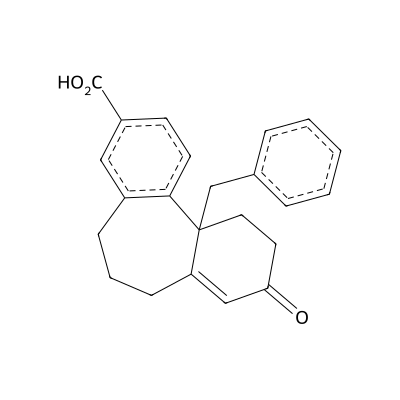 O=C1C=C2CCCc3cc(C(=O)O)ccc3C2(Cc2ccccc2)CC1